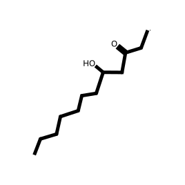 [CH2]CC(=O)CC(O)CCCCCCC